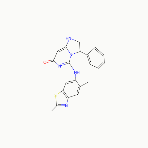 Cc1nc2cc(C)c(Nc3nc(=O)cc4n3C(c3ccccc3)CN4)cc2s1